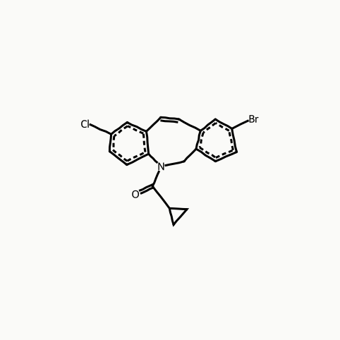 O=C(C1CC1)N1Cc2ccc(Br)cc2C=Cc2cc(Cl)ccc21